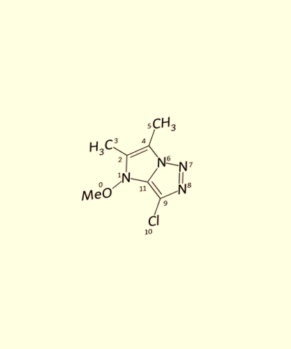 COn1c(C)c(C)n2nnc(Cl)c12